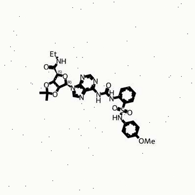 CCNC(=O)[C@H]1O[C@@H](n2cnc3c(NC(=O)Nc4ccccc4S(=O)(=O)Nc4ccc(OC)cc4)ncnc32)C2OC(C)(C)OC21